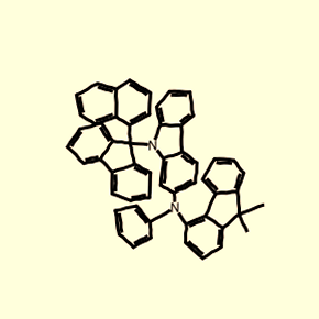 CC1(C)c2ccccc2-c2c(N(c3ccccc3)c3ccc4c5ccccc5n(C5(c6cccc7ccccc67)c6ccccc6-c6ccccc65)c4c3)cccc21